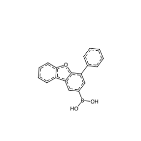 OB(O)c1cc(-c2ccccc2)c2oc3ccccc3c2c1